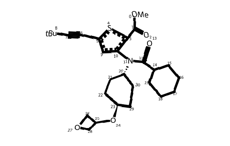 COC(=O)c1sc(C#CC(C)(C)C)cc1N(C(=O)C1CCCCC1)[C@H]1CC[C@H](OC2COC2)CC1